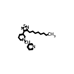 CCCCCCCCc1nsnc1C1=CCCN(C)C1.c1ccncc1